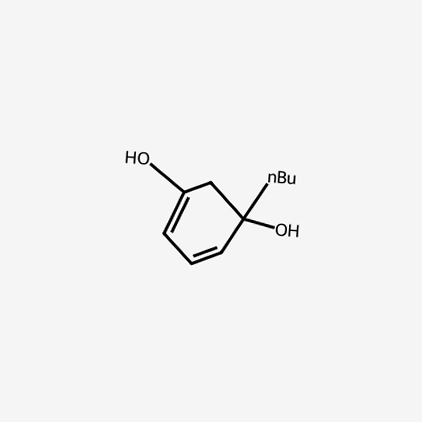 CCCCC1(O)C=CC=C(O)C1